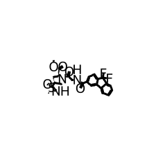 COC(=O)[C@@H]1C[C@@H]([S@@](C)(=N)=O)CN1C(=O)CNC(=O)c1ccc2c(c1)-c1ccccc1C2(F)F